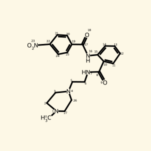 CN1CCN(CCNC(=O)c2ccccc2NC(=O)c2ccc([N+](=O)[O-])cc2)CC1